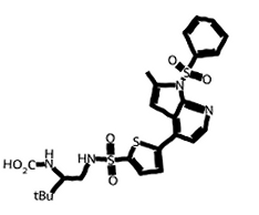 Cc1cc2c(-c3ccc(S(=O)(=O)NCC(NC(=O)O)C(C)(C)C)s3)ccnc2n1S(=O)(=O)c1ccccc1